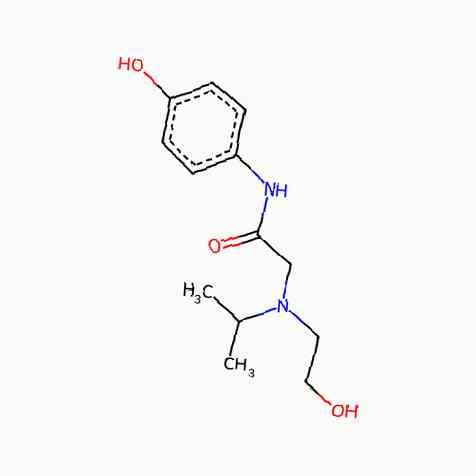 CC(C)N(CCO)CC(=O)Nc1ccc(O)cc1